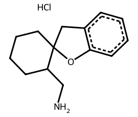 Cl.NCC1CCCCC12Cc1ccccc1O2